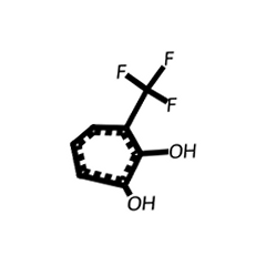 Oc1cccc(C(F)(F)F)c1O